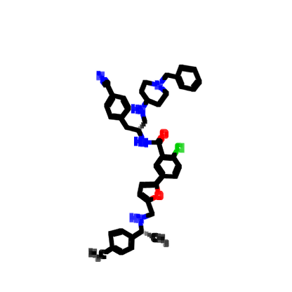 Cc1ccc([C@@H](C)NCc2ccc(-c3ccc(Cl)c(C(=O)N[C@@H](CNC4CCN(Cc5ccccc5)CC4)Cc4ccc(C#N)cc4)c3)o2)cc1